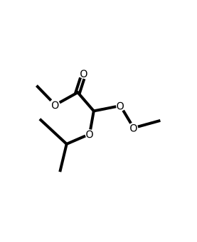 COOC(OC(C)C)C(=O)OC